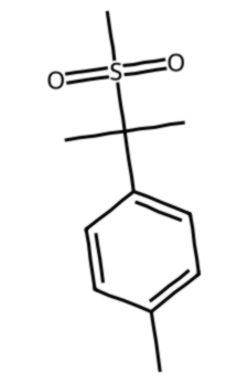 Cc1ccc(C(C)(C)S(C)(=O)=O)cc1